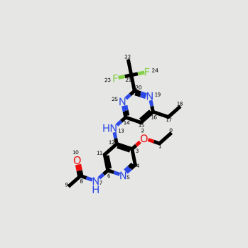 CCOc1cnc(NC(C)=O)cc1Nc1cc(CC)nc(C(C)(F)F)n1